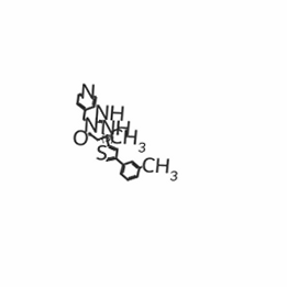 Cc1cccc(-c2csc([C@]3(C)CC(=O)N(Cc4ccncc4)C(=N)N3)c2)c1